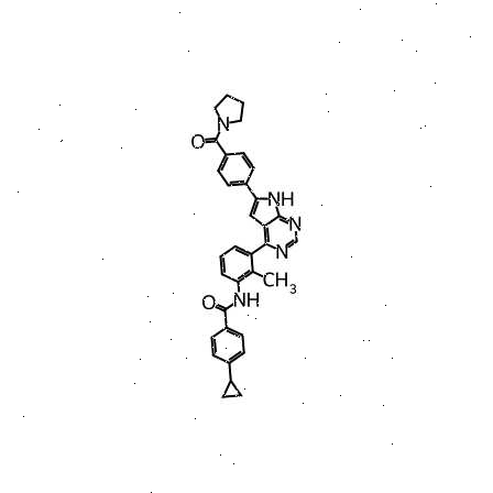 Cc1c(NC(=O)c2ccc(C3CC3)cc2)cccc1-c1ncnc2[nH]c(-c3ccc(C(=O)N4CCCC4)cc3)cc12